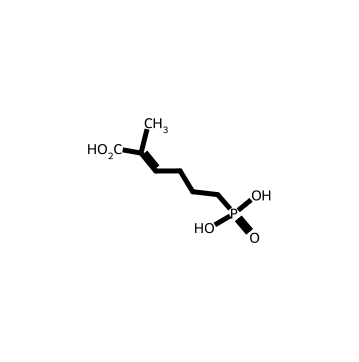 C/C(=C\CCCP(=O)(O)O)C(=O)O